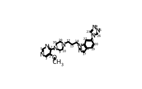 COc1cncnc1N1CCN(CCCn2ncc3ccc(-n4cnnc4)cc32)CC1